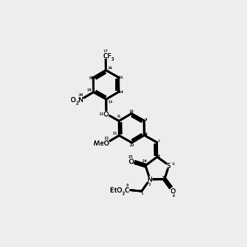 CCOC(=O)CN1C(=O)SC(=Cc2ccc(Oc3ccc(C(F)(F)F)cc3[N+](=O)[O-])c(OC)c2)C1=O